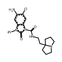 CC(C)n1c(=O)n(C(=O)NCCC23CCCN2CCC3)c2cc(Cl)c(N)cc21